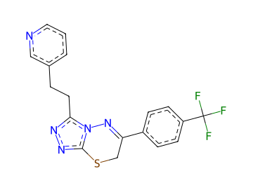 FC(F)(F)c1ccc(C2=Nn3c(CCc4cccnc4)nnc3SC2)cc1